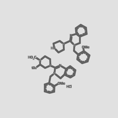 COc1ccccc1CN1Cc2ccccc2N=C1N1CCN(C(=O)O)C(C(C)(C)C)C1.COc1ccccc1CN1Cc2ccccc2N=C1N1CCNCC1.Cl